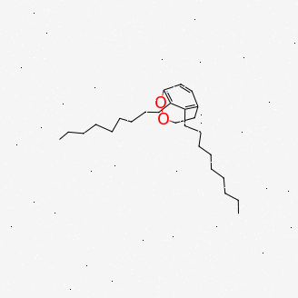 CCCCCCCCCc1c2ccc(c1CCCCCCCCC)OOCC2